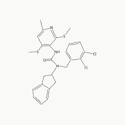 CSc1cc(C)nc(SC)c1NC(=O)N(Cc1cccc(Cl)c1Cl)C1Cc2ccccc2C1